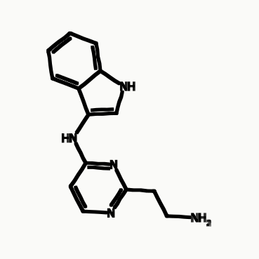 NCCc1nccc(Nc2c[nH]c3ccccc23)n1